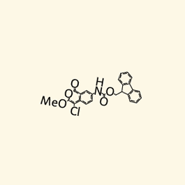 COc1oc(=O)c2cc(NC(=O)OCC3c4ccccc4-c4ccccc43)ccc2c1Cl